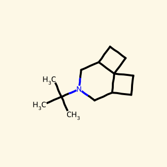 CC(C)(C)N1CC2CCC23CCC3C1